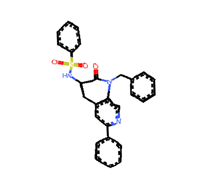 O=C1C(NS(=O)(=O)c2ccccc2)Cc2cc(-c3ccccc3)ncc2N1Cc1ccccc1